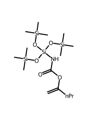 C=C(CCC)OC(=O)N[Si](O[Si](C)(C)C)(O[Si](C)(C)C)O[Si](C)(C)C